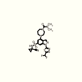 CN(C)C(=O)N1CCCN(c2cc(S(=O)(=O)NC3(C#N)CC3)cc3c2cnn3-c2nnc(C(F)F)s2)CC1